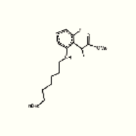 CCCCCCCCCCCCCCCCNc1cccc(F)c1C(C)C(=O)OC